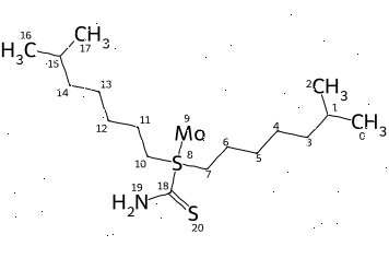 CC(C)CCCCC[S]([Mo])(CCCCCC(C)C)C(N)=S